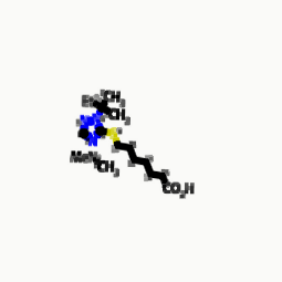 CCC(C)(C)n1ncnc1SCCCCCCC(=O)O.CNC